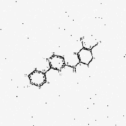 FC1=C(F)CCC(Nc2ccnc(-c3ccncc3)n2)=C1